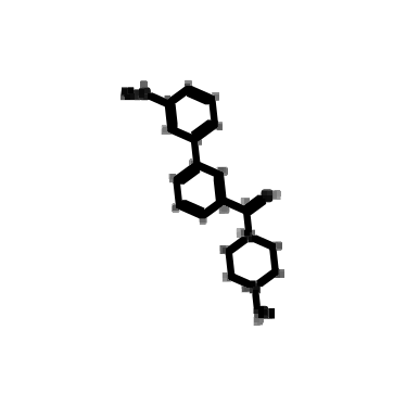 COc1cccc(-c2cccc(C(=O)N3CCN(C(C)(C)C)CC3)c2)c1